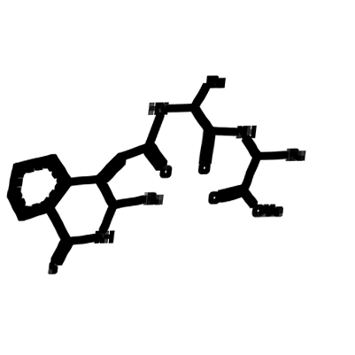 CCC(C)C(NC(=O)C=C1c2ccccc2C(=S)NC1C(C)CC)C(=O)NC(C(=O)OC)C(C)CC